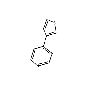 c1cc(-c2ccsc2)ncn1